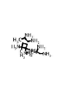 CC(N)CN.CC(N)CN.CC1(N)CCC1(N)N